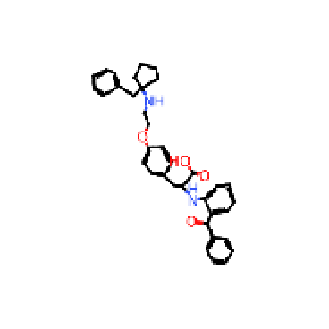 O=C(c1ccccc1)c1ccccc1NC(Cc1ccc(OCCNC2(Cc3ccccc3)CCCC2)cc1)C(=O)O